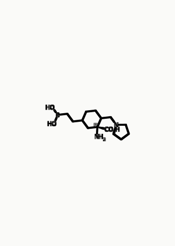 N[C@]1(C(=O)O)CC(CCB(O)O)CCC1CN1CCCC1